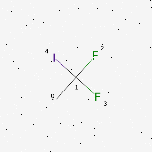 [CH2]C(F)(F)I